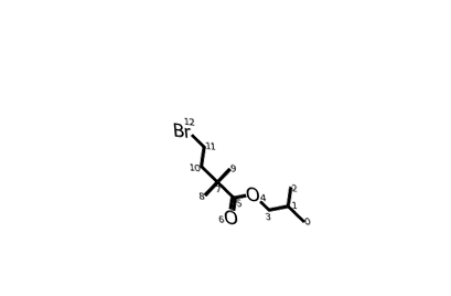 CC(C)COC(=O)C(C)(C)CCBr